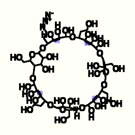 [N-]=[N+]=NCCC1OC2OC(CO)C(OC(O)/C(O)=C(/O)C(CCO)OC3OC(CO)[C@@H](OC(O)/C(O)=C(/O)C(CCO)OC4OC(CO)C(OC(O)/C(O)=C(/O)C(CCO)OC(O)/C(O)=C\1O)C(O)C4O)C(O)C3O)C(O)C2O